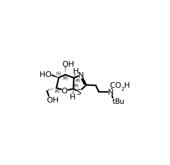 CC(C)(C)N(CCC1=N[C@@H]2[C@@H](O)[C@H](O)[C@@H](CO)O[C@@H]2S1)C(=O)O